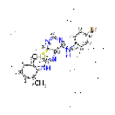 Cc1cccc(C)c1Nc1nc2c(Nc3ccc(Br)cc3)ncnc2s1